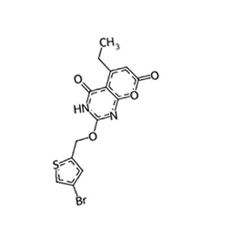 CCc1cc(=O)oc2nc(OCc3cc(Br)cs3)[nH]c(=O)c12